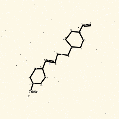 C=CC1CCC(CC/C=C/C2CCC(OC)CC2)CC1